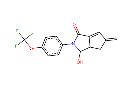 C=C1C=C2C(=O)N(c3ccc(OC(F)(F)F)cc3)C(O)C2C1